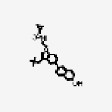 CC(C)(C)Cc1cn(CCN[S+]([O-])C2CC2)c2ccc(-c3ccc4cc(O)ccc4c3)cc12